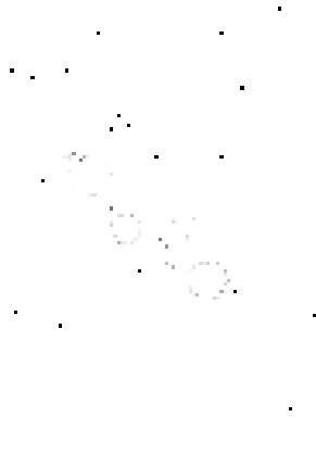 CCCS(=O)(=O)N(Cc1ccc(F)cc1)c1cnn(C2CCNCC2)c1